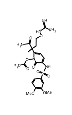 COc1ccc(S(=O)(=O)Nc2ccc(C(C)(CCONC(=N)N)C(N)=O)n(OC(=O)C(F)(F)F)c2=O)cc1OC